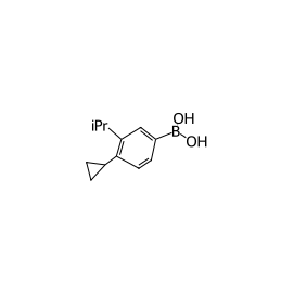 CC(C)c1cc(B(O)O)ccc1C1CC1